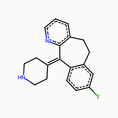 Fc1ccc2c(c1)CCc1cccnc1C2=C1CCNCC1